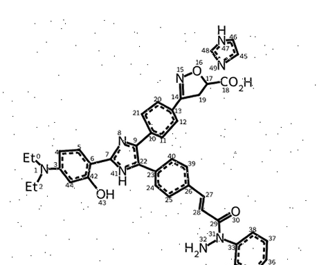 CCN(CC)c1ccc(-c2nc(-c3ccc(C4=NOC(C(=O)O)C4)cc3)c(-c3ccc(C=CC(=O)N(N)c4ccccc4)cc3)[nH]2)c(O)c1.c1c[nH]cn1